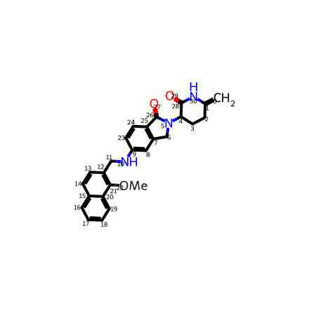 C=C1CCC(N2Cc3cc(NCc4ccc5ccccc5c4OC)ccc3C2=O)C(=O)N1